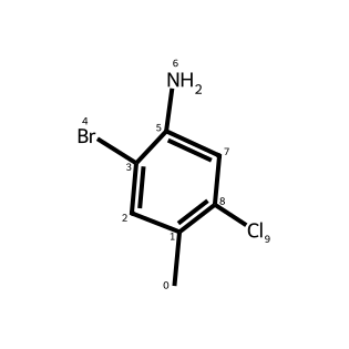 Cc1cc(Br)c(N)cc1Cl